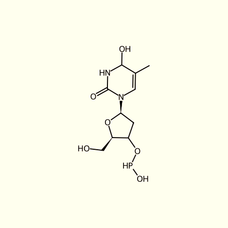 CC1=CN([C@H]2CC(OPO)[C@@H](CO)O2)C(=O)NC1O